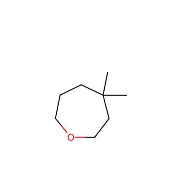 CC1(C)CCCOCC1